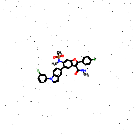 CNC(=O)c1c(-c2ccc(F)cc2)oc2cc(N(C)S(C)(=O)=O)c(-c3ccc4c(ccn4-c4cccc(F)c4)c3)cc12